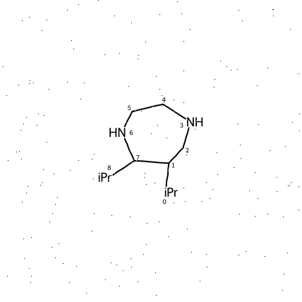 CC(C)C1CNCCNC1C(C)C